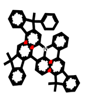 CC1(C)c2ccccc2-c2cc(-c3ccccc3N(c3ccc4c(c3)C(C)(C3=CC=CCC3)c3ccccc3-4)c3ccccc3-c3cccc4c3-c3ccccc3C4(C)C)ccc21